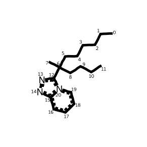 CCCCCCC(C)(CCCC)c1nnc2ccccn12